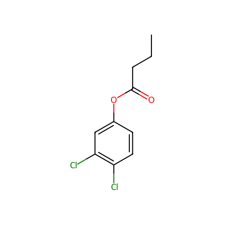 CCCC(=O)Oc1ccc(Cl)c(Cl)c1